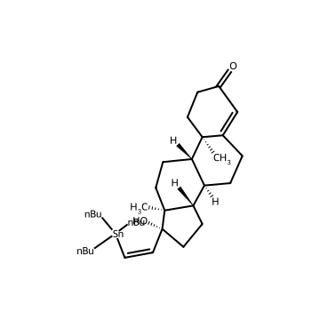 CCC[CH2][Sn](/[CH]=C\[C@]1(O)CC[C@H]2[C@@H]3CCC4=CC(=O)CC[C@]4(C)[C@H]3CC[C@@]21C)([CH2]CCC)[CH2]CCC